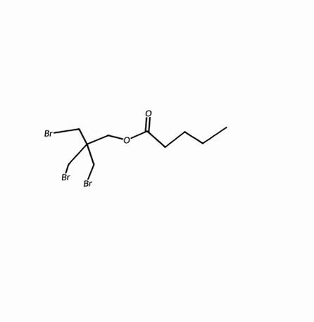 CCCCC(=O)OCC(CBr)(CBr)CBr